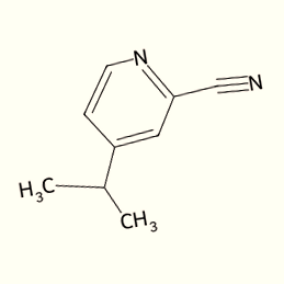 CC(C)c1ccnc(C#N)c1